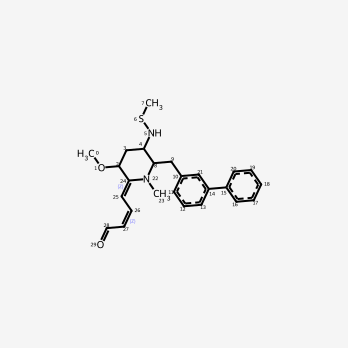 COC1CC(NSC)C(Cc2cccc(-c3ccccc3)c2)N(C)/C1=C\C=C/C=O